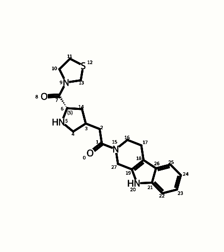 O=C(CC1CN[C@H](C(=O)N2CCSC2)C1)N1CCc2c([nH]c3ccccc23)C1